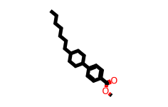 CCCCCCCC1CCC(c2ccc(C(=O)OC)cc2)CC1